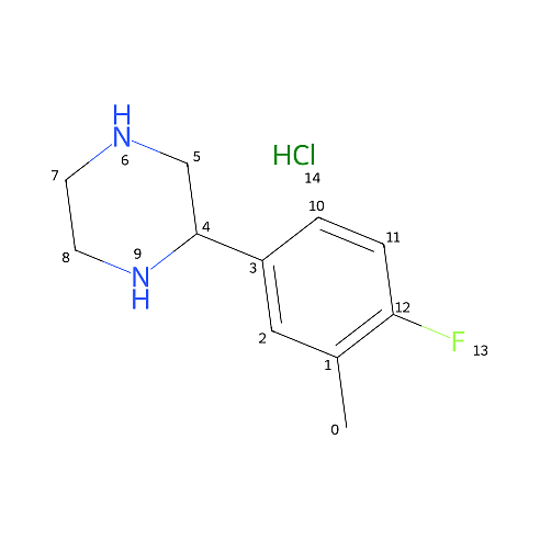 Cc1cc(C2CNCCN2)ccc1F.Cl